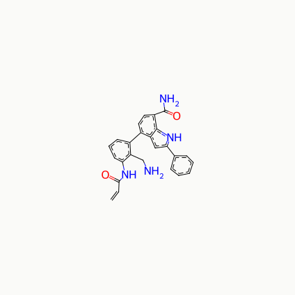 C=CC(=O)Nc1cccc(-c2ccc(C(N)=O)c3[nH]c(-c4ccccc4)cc23)c1CN